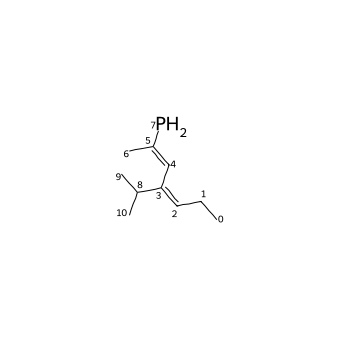 CC/C=C(\C=C(/C)P)C(C)C